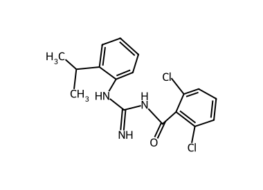 CC(C)c1ccccc1NC(=N)NC(=O)c1c(Cl)cccc1Cl